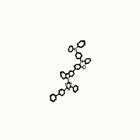 c1ccc(-c2ccc(-c3nc(-c4ccccc4)nc(-n4c5ccccc5c5cc(-c6ccc7c(c6)Oc6ccccc6N7c6ccc(N(c7ccccc7)c7ccccc7)cc6)ccc54)n3)cc2)cc1